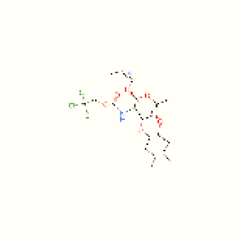 C/C=C\O[C@H]1OC(C)[C@@H](OCCCC)C(OCCCC)C1NC(=O)OCC(Cl)(Cl)Cl